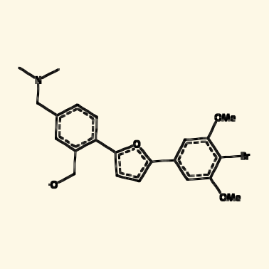 COc1cc(-c2ccc(-c3ccc(CN(C)C)cc3C[O])o2)cc(OC)c1Br